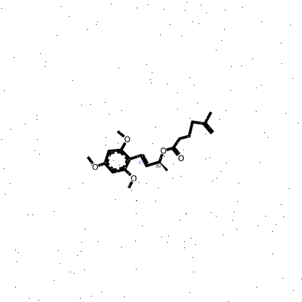 C=C(C)CCCC(=O)O[C@@H](C)/C=C/c1c(OC)cc(OC)cc1OC